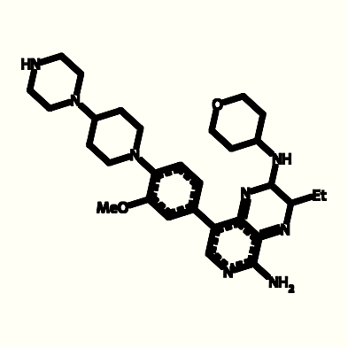 CCC1N=c2c(N)ncc(-c3ccc(N4CCC(N5CCNCC5)CC4)c(OC)c3)c2=NC1NC1CCOCC1